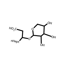 CCCCCCCC(CC(=O)O)OC1OCC(O)C(O)C1O